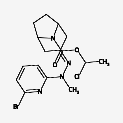 CC(Cl)OC(=O)N1C2CCC1CC(=NN(C)c1cccc(Br)n1)C2